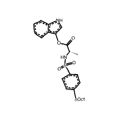 CCCCCCCCc1ccc(S(=O)(=O)N[C@@H](C)C(=O)Oc2c[nH]c3ccccc23)cc1